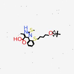 CSC1=NC(c2ccccc2SCCCCCO[Si](C)(C)C(C)(C)C)C(C(=O)O)=C(C)N1